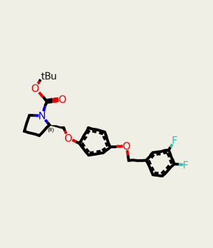 CC(C)(C)OC(=O)N1CCC[C@@H]1COc1ccc(OCc2ccc(F)c(F)c2)cc1